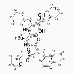 CCCC[C@H](NC(=O)[C@H](Cc1cccc2ccccc12)CS(=O)(=O)Cc1ccco1)C(=O)N[C@@H](CC1CCCCC1)[C@@H](O)[C@@H](O)CN1CCOCC1